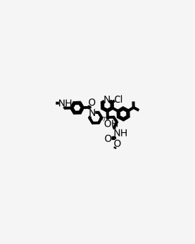 CNCc1ccc(C(=O)N2CCC[C@@H](C(O)(CCCNC(=O)OC)c3ccnc(Cl)c3-c3cccc(C(C)C)c3)C2)cc1